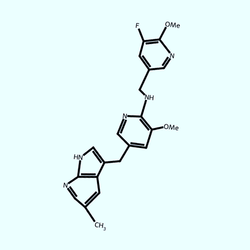 COc1cc(Cc2c[nH]c3ncc(C)cc23)cnc1NCc1cnc(OC)c(F)c1